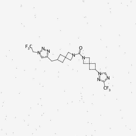 O=C(N1CC2(CC(Cc3cn(CC(F)(F)F)nn3)C2)C1)N1CC2(CC(n3cnc(C(F)(F)F)n3)C2)C1